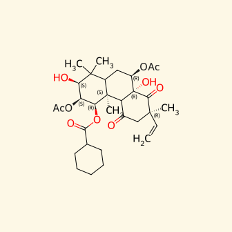 C=C[C@@]1(C)CC(=O)C2[C@]3(C)C(C[C@@H](OC(C)=O)[C@@]2(O)C1=O)C(C)(C)[C@H](O)[C@H](OC(C)=O)[C@@H]3OC(=O)C1CCCCC1